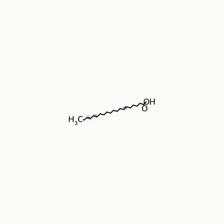 CC/C=C/C=C/CCCCCCC/C=C/CCCCC(=O)O